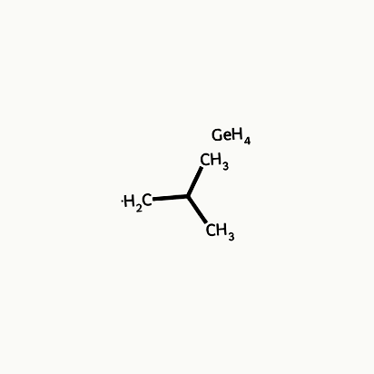 [CH2]C(C)C.[GeH4]